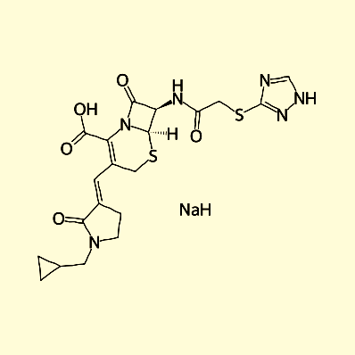 O=C(CSc1nc[nH]n1)N[C@@H]1C(=O)N2C(C(=O)O)=C(/C=C3\CCN(CC4CC4)C3=O)CS[C@H]12.[NaH]